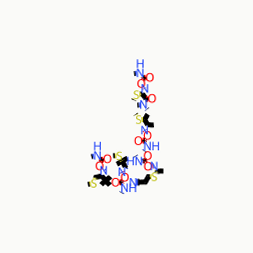 CNC(=O)O/N=C(/C)SCCC#N.CNC(=O)O/N=C(\C)C(C)SC.CNC(=O)O/N=C/C(C)(C)SC.CNC(=O)ON=C(CSC)C(C)(C)C.CNC(=O)ON=C(SC)C(=O)N(C)C